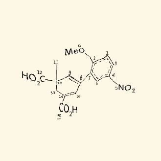 COc1ccc([N+](=O)[O-])cc1C1=CC(C)(C(=O)O)CC(C(=O)O)=C1